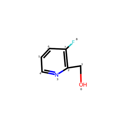 OCc1ncc[c]c1F